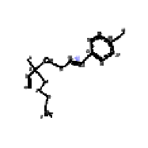 C=CC(C)(CCCC(C)C)OC/C=C/c1ccc(C)cc1